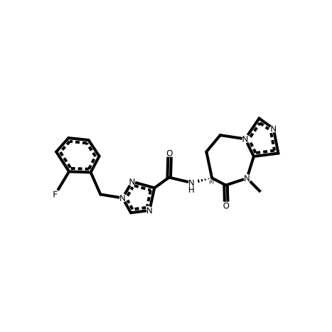 CN1C(=O)[C@H](NC(=O)c2ncn(Cc3ccccc3F)n2)CCn2cncc21